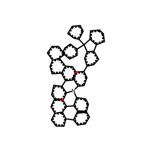 c1ccc(-c2cccc3cccc(-c4ccccc4N(c4ccc(-c5ccc6c(c5)C(c5ccccc5)(c5ccccc5)c5ccccc5-6)cc4)c4ccccc4-c4cccc5c4ccc4ccccc45)c23)cc1